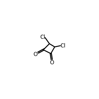 O=C1C(=O)C(Cl)C1Cl